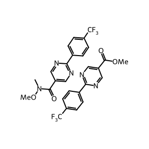 COC(=O)c1cnc(-c2ccc(C(F)(F)F)cc2)nc1.CON(C)C(=O)c1cnc(-c2ccc(C(F)(F)F)cc2)nc1